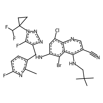 Cc1nc(F)ccc1[C@H](Nc1cc(Cl)c2ncc(C#N)c(NCC(C)(C)C)c2c1Br)c1nnn(C2(C(F)F)CC2)c1F